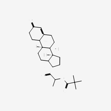 CC(OC(=O)C(C)(C)C)C(=O)[C@H]1CC[C@H]2[C@@H]3CCC4=CC(=O)CC[C@]4(C)[C@H]3CC[C@]12C